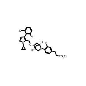 CCOC(=O)CCc1ccc(N2C[C@@H]3C[C@H]2C[C@H]3OCc2c(-c3c(Cl)cccc3Cl)cnn2C2CC2)c(F)c1